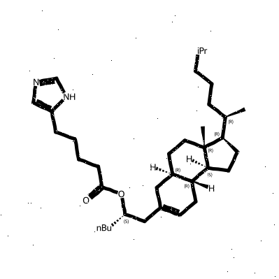 CCCC[C@@H](CC1=CC[C@@H]2[C@H](CC[C@]3(C)[C@@H]([C@H](C)CCCC(C)C)CC[C@@H]23)C1)OC(=O)CCCCc1cnc[nH]1